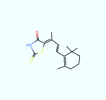 CC(C=CC1=C(C)CCCC1(C)C)=C1SC(=S)NC1=O